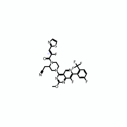 COc1nc(N2CCN(C(=O)/C(F)=C/c3nccs3)C(CC#N)C2)c2cnc(-c3cc(F)ccc3C(F)(F)F)c(F)c2n1